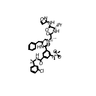 CC(C)[C@H](NC(=O)[C@H](C)NC[C@H](Cc1ccccc1)NC(=O)c1cc(C(=O)N[C@H](C)c2cccc(Cl)c2)cc(N(C)S(C)(=O)=O)c1)C(=O)Nc1ccon1